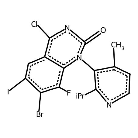 Cc1ccnc(C(C)C)c1-n1c(=O)nc(Cl)c2cc(I)c(Br)c(F)c21